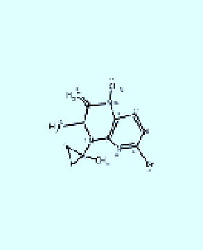 C=C1C(C)N(C2(C)CC2)c2nc(Br)ccc2N1C